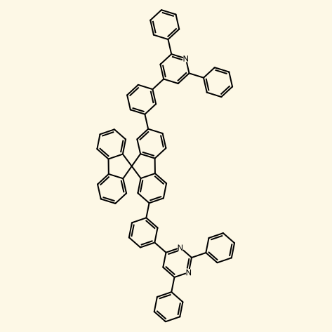 c1ccc(-c2cc(-c3cccc(-c4ccc5c(c4)C4(c6ccccc6-c6ccccc64)c4cc(-c6cccc(-c7cc(-c8ccccc8)nc(-c8ccccc8)n7)c6)ccc4-5)c3)cc(-c3ccccc3)n2)cc1